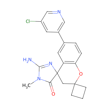 CN1C(=O)C2(CC3(CCC3)Oc3ccc(-c4cncc(Cl)c4)cc32)N=C1N